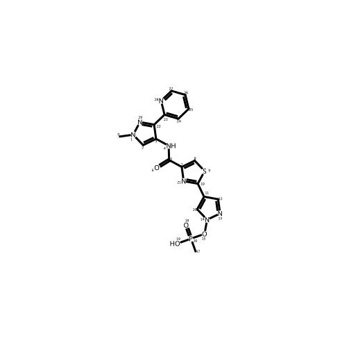 Cn1cc(NC(=O)c2csc(-c3cnn(OP(C)(=O)O)c3)n2)c(-c2ccccn2)n1